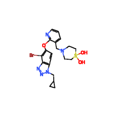 OS1(O)CCN(Cc2cccnc2Oc2ccc3c(nnn3CC3CC3)c2Br)CC1